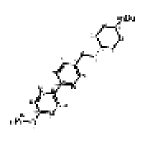 CCCC[C@H]1CC[C@H](CCc2ccc(-c3ncc(OCCC)cn3)cc2)CC1